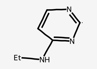 CCNc1ccn[c]n1